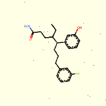 CCC(CCC(N)=O)C(CCCc1cccc(F)c1)c1cccc(O)c1